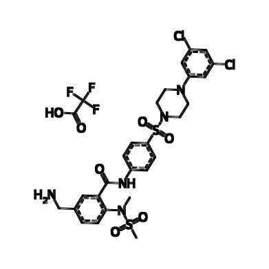 CN(c1ccc(CN)cc1C(=O)Nc1ccc(S(=O)(=O)N2CCN(c3cc(Cl)cc(Cl)c3)CC2)cc1)S(C)(=O)=O.O=C(O)C(F)(F)F